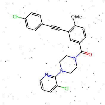 COc1ccc(C(=O)N2CCN(c3ncccc3Cl)CC2)cc1C#Cc1ccc(Cl)cc1